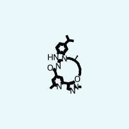 Cc1cc2cc(n1)-c1cnn(C)c1OCCC[C@H](C)CN1/C(=N/C2=O)Nc2ccc(C(C)C)cc21